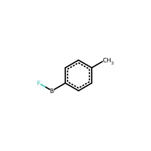 Cc1ccc([B]F)cc1